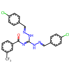 O=C(N=C(NN=Cc1ccc(Cl)cc1)NN=Cc1ccc(Cl)cc1)c1cccc(C(F)(F)F)c1